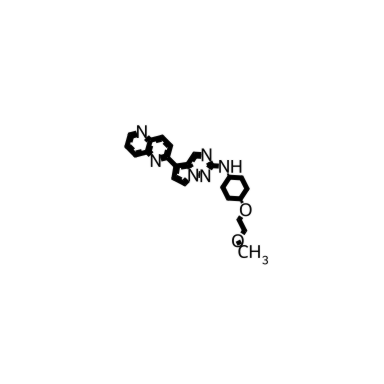 COCCO[C@H]1CC[C@H](Nc2ncc3c(-c4ccc5ncccc5n4)ccn3n2)CC1